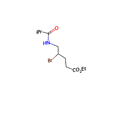 CCOC(=O)CCC(Br)CNC(=O)C(C)C